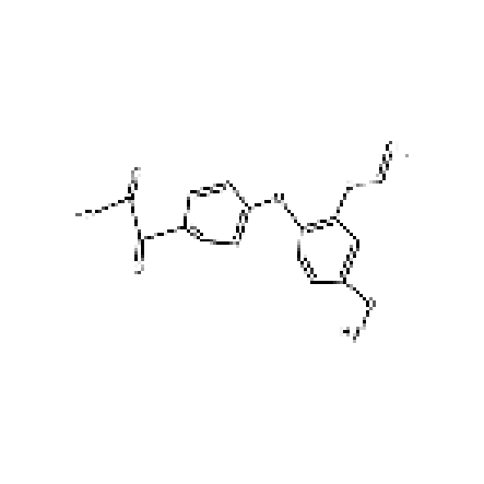 C=COc1cc(OC)ccc1Oc1ccc(C(=O)C(=O)O)cc1